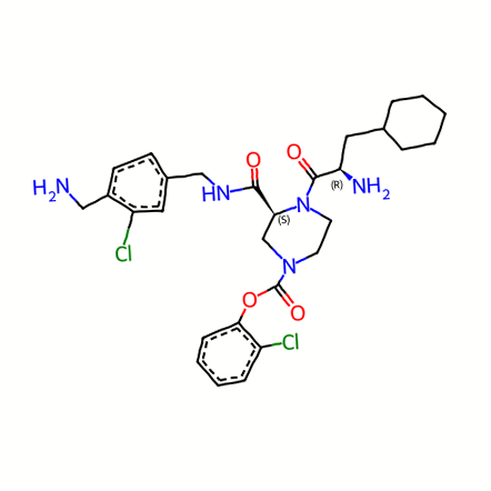 NCc1ccc(CNC(=O)[C@@H]2CN(C(=O)Oc3ccccc3Cl)CCN2C(=O)[C@H](N)CC2CCCCC2)cc1Cl